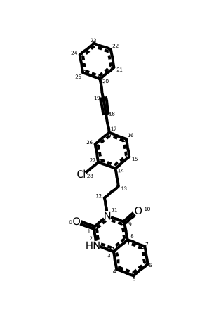 O=c1[nH]c2ccccc2c(=O)n1CCc1ccc(C#Cc2ccccc2)cc1Cl